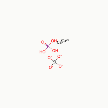 O=P(O)(O)O.[Ca+2].[Ca+2].[O-][Si]([O-])([O-])[O-]